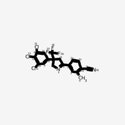 Cc1cc(C2=NCC(c3cc(Cl)c(Cl)c(Cl)c3)(C(F)(F)F)C2)ccc1C#N